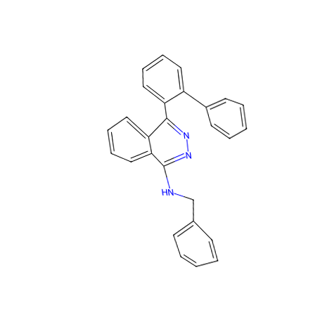 c1ccc(CNc2nnc(-c3ccccc3-c3ccccc3)c3ccccc23)cc1